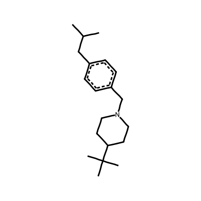 CC(C)Cc1ccc(CN2CCC(C(C)(C)C)CC2)cc1